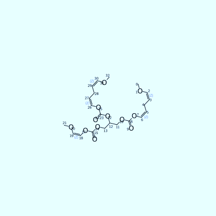 CO/C=C\C/C=C\OC(=O)OCC(COC(=O)O/C=C\OC)OC(=O)O/C=C\C/C=C\OC